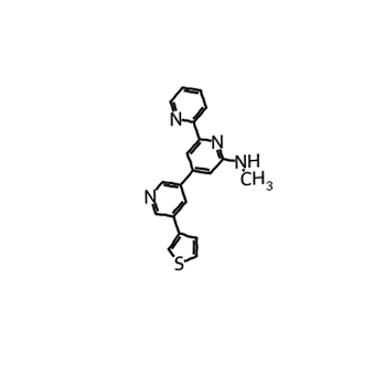 CNc1cc(-c2cncc(-c3ccsc3)c2)cc(-c2ccccn2)n1